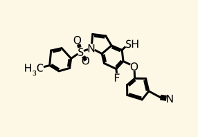 Cc1ccc(S(=O)(=O)n2ccc3c(S)c(Oc4cccc(C#N)c4)c(F)cc32)cc1